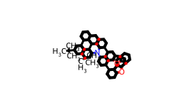 CC(C)(C)c1cc(-c2cccc3cccc(-c4ccccc4N(c4ccc(-c5cccc6oc7ccccc7c56)cc4)c4ccccc4-c4ccc5oc6ccccc6c5c4)c23)cc(C(C)(C)C)c1